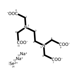 O=C([O-])CN(CCN(CC(=O)[O-])CC(=O)[O-])CC(=O)[O-].[Na+].[Na+].[Se+2]